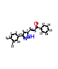 Cc1ccc(-c2cc(/C=C/C(=O)c3ccccc3)[nH]n2)cc1C